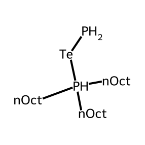 CCCCCCCC[PH](CCCCCCCC)(CCCCCCCC)[Te]P